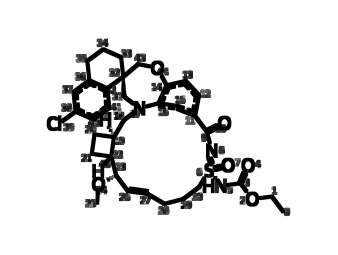 CCOC(=O)N[S@]1(=O)=NC(=O)c2ccc3c(c2)N(C[C@@H]2CC[C@H]2[C@@H](OC)/C=C/CCC1)C[C@@]1(CCCc2cc(Cl)ccc21)CO3